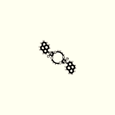 C=C1OCCCCOC(C(=O)Nc2ccc3ccc4cccc5ccc2c3c45)C(=C)OCCCCOC1C(=O)Nc1ccc2ccc3cccc4ccc1c2c34